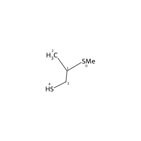 CSC(C)CS